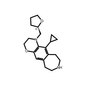 c1c2c(c(C3CC3)c3c1OCCN3C[C@H]1CCCO1)CCNCC2